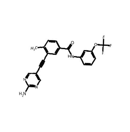 Cc1ccc(C(=O)Nc2cccc(OC(F)(F)F)c2)cc1C#Cc1cnc(N)nc1